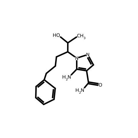 CC(O)C(CCCc1ccccc1)n1ncc(C(N)=O)c1N